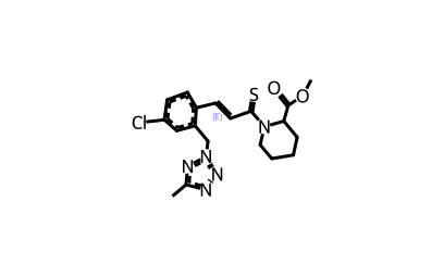 COC(=O)C1CCCCN1C(=S)/C=C/c1ccc(Cl)cc1Cn1nnc(C)n1